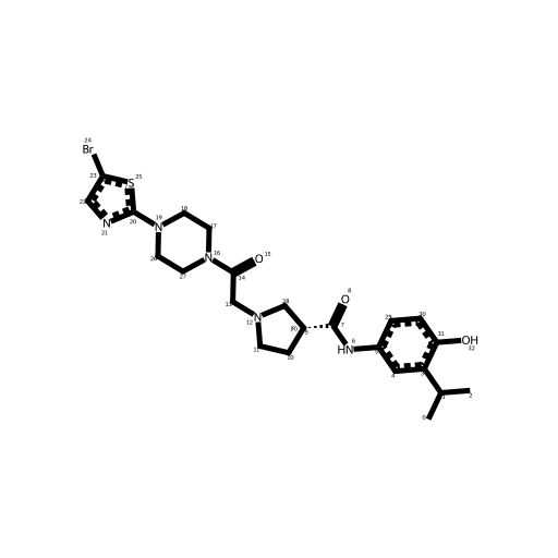 CC(C)c1cc(NC(=O)[C@@H]2CCN(CC(=O)N3CCN(c4ncc(Br)s4)CC3)C2)ccc1O